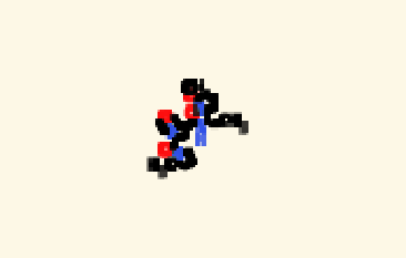 CC[C@@H](NC(=O)c1cc(C(=O)N2CCCC2C)n2c1COCC2)c1cccc(OC)n1